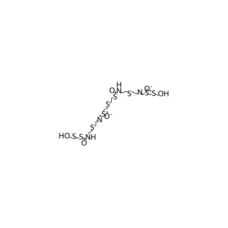 O=C(NCCSCC/N=C/[S+]([O-])CSCO)SCCSCC[S+]([O-])/C=N/CCSCCNC(=O)SCSCO